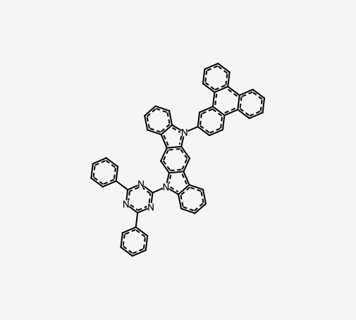 c1ccc(-c2nc(-c3ccccc3)nc(-n3c4ccccc4c4cc5c(cc43)c3ccccc3n5-c3ccc4c5ccccc5c5ccccc5c4c3)n2)cc1